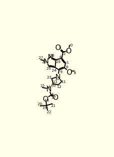 COC(=O)c1cc(OC)c(N2CC[C@H](N(C)C(=O)OC(C)(C)C)C2)c2cn(C)nc12